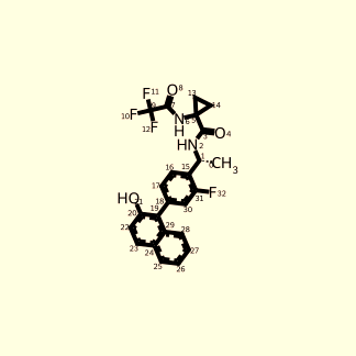 C[C@@H](NC(=O)C1(NC(=O)C(F)(F)F)CC1)c1ccc(-c2c(O)ccc3ccccc23)cc1F